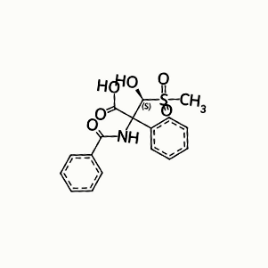 CS(=O)(=O)[C@H](O)C(NC(=O)c1ccccc1)(C(=O)O)c1ccccc1